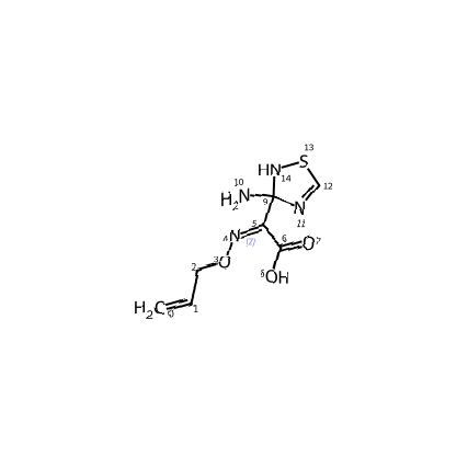 C=CCO/N=C(\C(=O)O)C1(N)N=CSN1